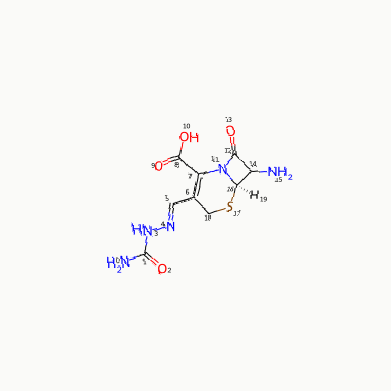 NC(=O)N/N=C/C1=C(C(=O)O)N2C(=O)C(N)[C@H]2SC1